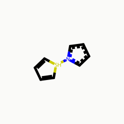 C1=C[SH](n2cccc2)C=C1